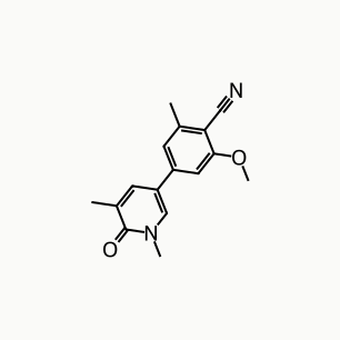 COc1cc(-c2cc(C)c(=O)n(C)c2)cc(C)c1C#N